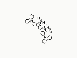 CC1(C)c2cc(-n3c4ccccc4c4ccccc43)ccc2-c2cc3c(cc21)C(C)(C)C1C=C(n2c4ccccc4c4ccccc42)C=CC31